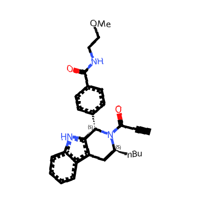 C#CC(=O)N1[C@@H](CCCC)Cc2c([nH]c3ccccc23)[C@@H]1c1ccc(C(=O)NCCOC)cc1